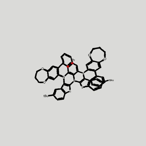 CC(C)c1cc2c3c(c1)N(c1cc4c(cc1-c1ccccc1)OCCCO4)c1c(sc4ccc(C(C)(C)C)cc14)B3c1sc3ccc(C(C)(C)C)cc3c1N2c1cc2c(cc1-c1ccccc1)OCCCO2